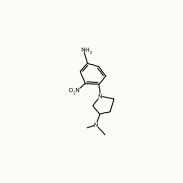 CN(C)C1CCN(c2ccc(N)cc2[N+](=O)[O-])C1